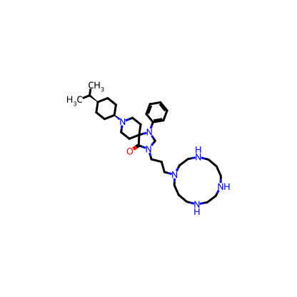 CC(C)[C@H]1CC[C@@H](N2CCC3(CC2)C(=O)N(CCCN2CCCNCCNCCCNCC2)CN3c2ccccc2)CC1